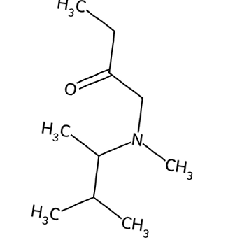 CCC(=O)CN(C)C(C)C(C)C